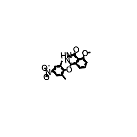 COc1cccc2c(Oc3c(C)cc([N+](=O)[O-])cc3C)n[nH]c(=O)c12